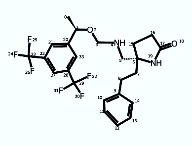 C[C@@H](OCNC[C@]1(CCc2ccccc2)CCC(=O)N1)c1cc(C(F)(F)F)cc(C(F)(F)F)c1